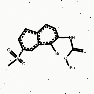 CC(C)(C)OC(=O)Nc1ccc2ccc(S(C)(=O)=O)cc2c1Br